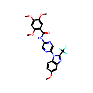 COc1ccc2c(c1)nc(C(F)(F)F)n2-c1cnc(NC(=O)c2cc(OC)c(OC)cc2OC)cn1